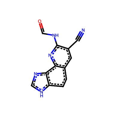 N#Cc1cc2ccc3[nH]cnc3c2nc1NC=O